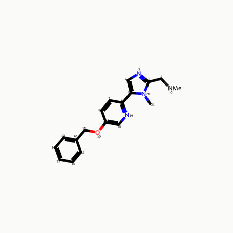 CNCc1ncc(-c2ccc(OCc3ccccc3)cn2)n1C